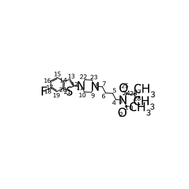 CC(=O)N(CCCCN1CCN(c2cc3ccc(F)cc3s2)CC1)C(=O)C(C)C